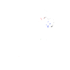 C=CC(=O)c1cccc[n+]1CCCCCCCCCCCC[O-].Cl